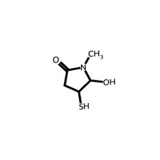 CN1C(=O)CC(S)C1O